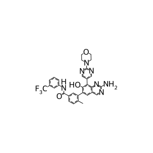 Cc1ccc(C(=O)Nc2cccc(C(F)(F)F)c2)cc1-c1cc2cnc(N)nc2c(-c2cnc(N3CCOCC3)nc2)c1O